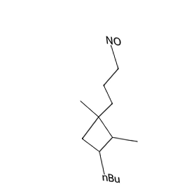 CCCCC1CC(C)(CCCN=O)C1C